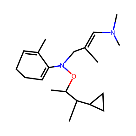 CC1=CCCC=C1N(C/C(C)=C/N(C)C)OC(C)C(C)C1CC1